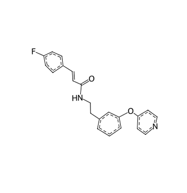 O=C(C=Cc1ccc(F)cc1)NCCc1cccc(Oc2ccncc2)c1